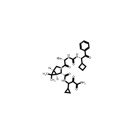 CC(C)(C)[C@H](NC(=O)N[C@H](C(=O)c1ccccc1)C1CCC1)C(=O)N1C[C@H]2[C@@H]([C@H]1C(=O)NC(C(=O)C(N)=O)C1CC1)C2(C)C